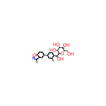 Cc1cc(-c2ccc3onc(C)c3c2)ccc1[C@@H](O)[C@H]1OC(CO)[C@@H](O)C(O)C1O